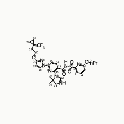 CCCOc1cccc(S(=O)(=O)NC(=O)c2ccc(-n3ccc(OCCC4(C(F)(F)F)CC4)n3)nc2N2CNCC2(C)C)n1